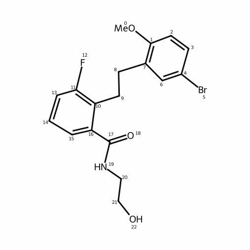 COc1ccc(Br)cc1CCc1c(F)cccc1C(=O)NCCO